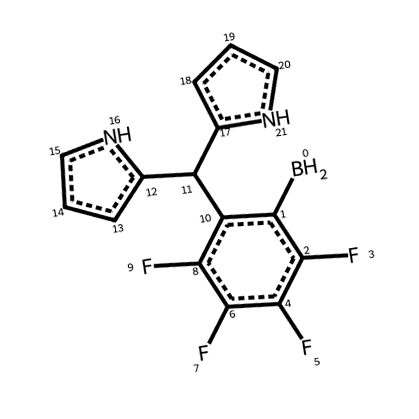 Bc1c(F)c(F)c(F)c(F)c1C(c1ccc[nH]1)c1ccc[nH]1